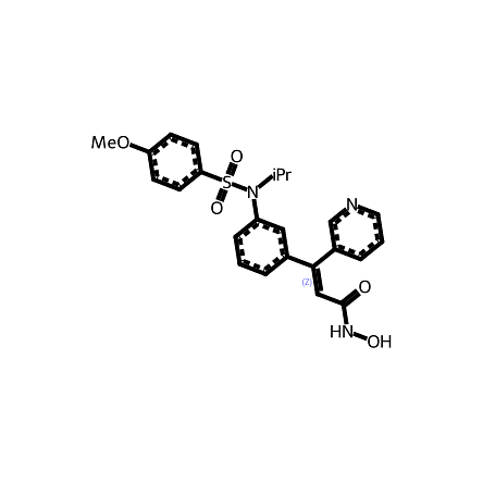 COc1ccc(S(=O)(=O)N(c2cccc(/C(=C/C(=O)NO)c3cccnc3)c2)C(C)C)cc1